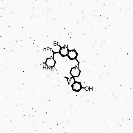 CCCC(c1cc2cc(CN3CCC(c4cccc(O)c4)(N(C)C)CC3)ccc2nc1CC)N1C[C@@H](C)N[C@@H](C)C1